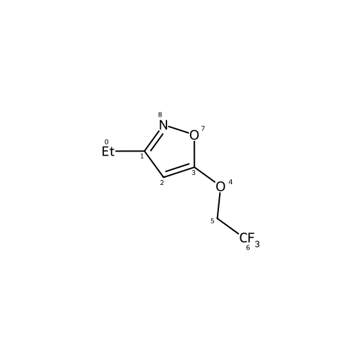 CCc1cc(OCC(F)(F)F)on1